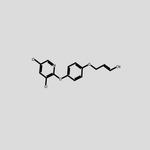 N#CC=CCOc1ccc(Oc2ncc(Cl)cc2Cl)cc1